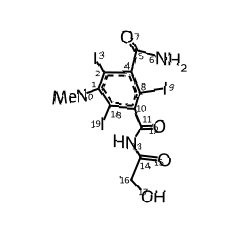 CNc1c(I)c(C(N)=O)c(I)c(C(=O)NC(=O)CO)c1I